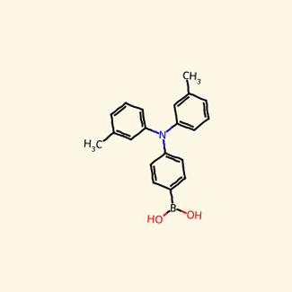 Cc1cccc(N(c2ccc(B(O)O)cc2)c2cccc(C)c2)c1